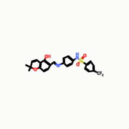 CC1(C)C=Cc2c(ccc(C=Nc3ccc(NS(=O)(=O)c4ccc(C(F)(F)F)cc4)cc3)c2O)O1